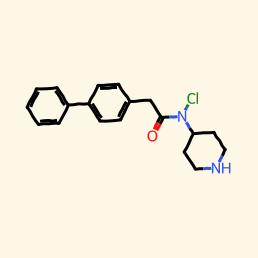 O=C(Cc1ccc(-c2ccccc2)cc1)N(Cl)C1CCNCC1